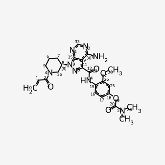 C=CC(=O)N1CCC[C@@H](n2nc(C(=O)Nc3ccc(OC(=O)N(C)C)cc3OC)c3c(N)ncnc32)C1